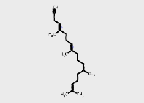 C#CC/C=C(\C)CC/C=C(\C)CCCC(C)CCC=C(C)C